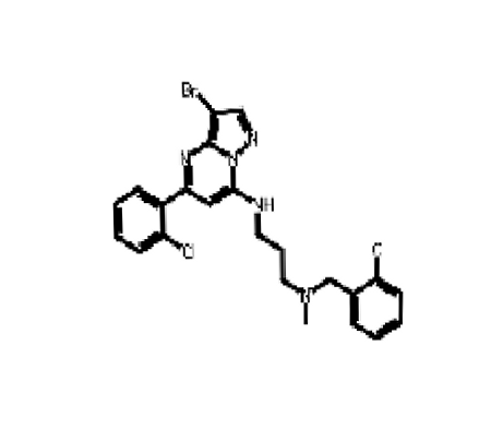 CN(CCCNc1cc(-c2ccccc2Cl)nc2c(Br)cnn12)Cc1ccccc1Cl